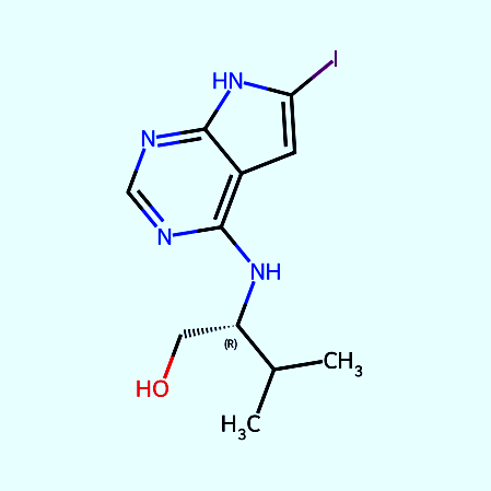 CC(C)[C@H](CO)Nc1ncnc2[nH]c(I)cc12